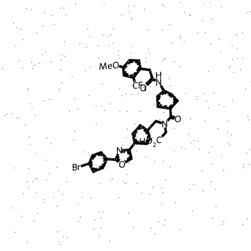 COc1ccc(CC(=O)Nc2ccc(C(=O)N(CC(=O)O)Cc3ccc(-c4coc(-c5ccc(Br)cc5)n4)cc3)cc2)c(C(F)(F)F)c1